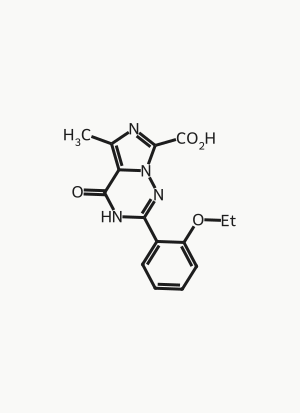 CCOc1ccccc1-c1nn2c(C(=O)O)nc(C)c2c(=O)[nH]1